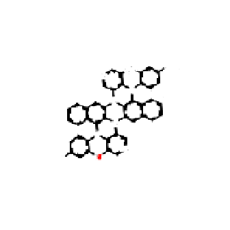 Cc1cc(C)c(B2c3c(C)cncc3N3c4cc5ccccc5c5c4N(c4cncc(C)c4B5c4c(C)cc(C)cc4N)c4cc5ccccc5c2c43)c(C)c1